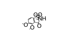 COc1ccc2c(c1OC)C(=O)NS2(=O)=O